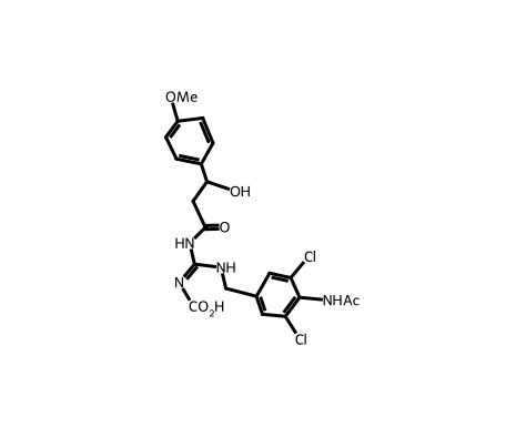 COc1ccc(C(O)CC(=O)NC(=NC(=O)O)NCc2cc(Cl)c(NC(C)=O)c(Cl)c2)cc1